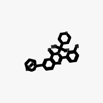 O=c1c2cc(N3CCN4CCC3CC4)ccc2nc(-c2cccc(Cl)c2)n1C(O)(O)C1CCSCC1